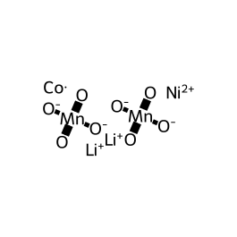 [Co].[Li+].[Li+].[Ni+2].[O]=[Mn](=[O])([O-])[O-].[O]=[Mn](=[O])([O-])[O-]